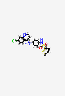 O=S(=O)(NC1CCC(Nc2ccnc3cc(Cl)ccc23)CC1)c1cccs1